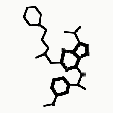 COc1cccc(C(C)Nc2nc(CN(C)CCCN3CCCCC3)nc3c(C(C)C)cnn23)c1